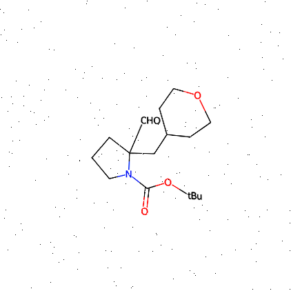 CC(C)(C)OC(=O)N1CCCC1(C=O)CC1CCOCC1